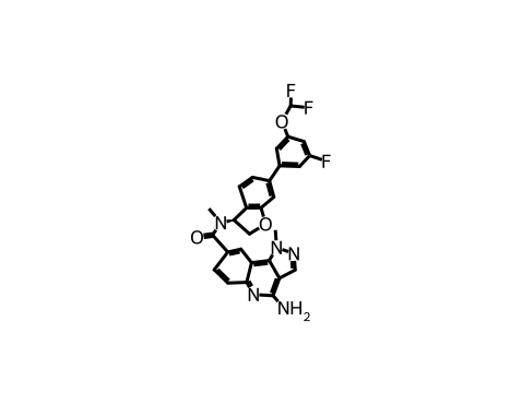 CN(C(=O)c1ccc2nc(N)c3cnn(C)c3c2c1)[C@@H]1COc2cc(-c3cc(F)cc(OC(F)F)c3)ccc21